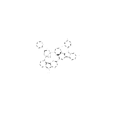 c1ccc(-c2nc(-c3ccccc3)nc(-c3cccc4[nH]c5ccc(-c6ccc7c(c6)c6ccccc6n7-c6ccccc6)cc5c34)n2)cc1